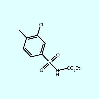 CCOC(=O)NS(=O)(=O)c1ccc(C)c(Cl)c1